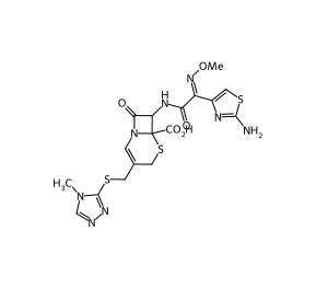 CON=C(C(=O)NC1C(=O)N2C=C(CSc3nncn3C)CSC12C(=O)O)c1csc(N)n1